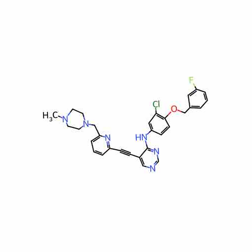 CN1CCN(Cc2cccc(C#Cc3cncnc3Nc3ccc(OCc4cccc(F)c4)c(Cl)c3)n2)CC1